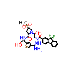 CS(=O)(=O)[C@@H]1C[C@@H](C(=O)N[C@H](CO)c2cc(C(=N)N)cs2)N(C(=O)CNC(=O)c2ccc3c(c2)C(F)(F)c2ccccc2-3)C1